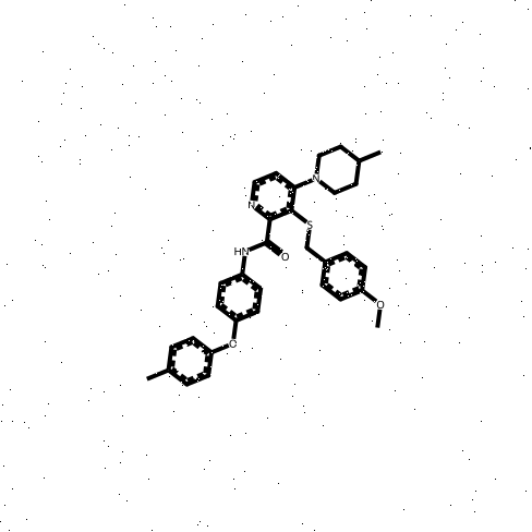 COc1ccc(CSc2c(N3CCC(C)CC3)ccnc2C(=O)Nc2ccc(Oc3ccc(C)cc3)cc2)cc1